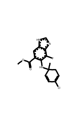 COC(=O)c1cc2[nH]cnc2c(F)c1NC1(C)C=CC(Cl)=CC1